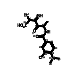 CCC(C(=N)C(=O)C(C)NC(=O)c1ccc(N(C)C)c(Cl)c1)C(=O)O